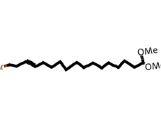 COC(CCCCCCCCCCCC/C=C/CCBr)OC